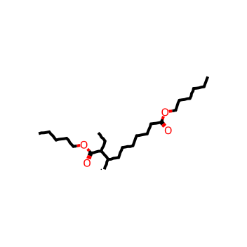 [CH2]C(CCCCCCC(=O)OCCCCCC)C(CC)C(=O)OCCCCC